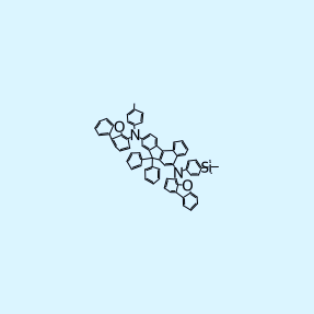 Cc1ccc(N(c2ccc3c(c2)C(c2ccccc2)(c2ccccc2)c2cc(N(c4ccc([Si](C)(C)C)cc4)c4cccc5c4oc4ccccc45)c4ccccc4c2-3)c2cccc3c2oc2ccccc23)cc1